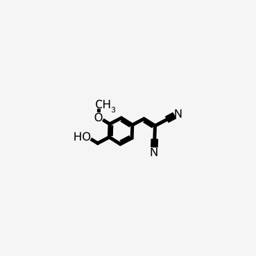 COc1cc(C=C(C#N)C#N)ccc1CO